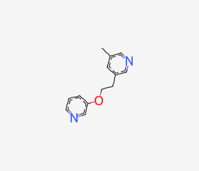 Cc1cncc(CCOc2cccnc2)c1